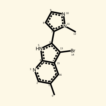 Cc1cnc2[nH]c(-c3ccnn3C)c(Br)c2c1